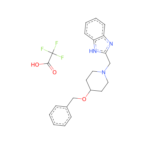 O=C(O)C(F)(F)F.c1ccc(COC2CCN(Cc3nc4ccccc4[nH]3)CC2)cc1